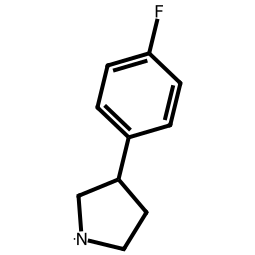 Fc1ccc(C2CC[N]C2)cc1